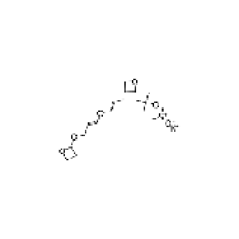 C1COC1.CC(C)(C)[O-].CC=COC=CCOC1CCO1.C[S+](C)[O-].[K+]